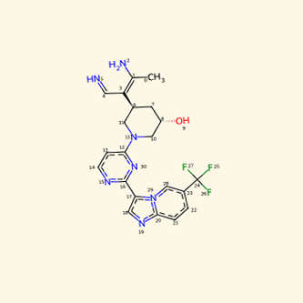 C/C(N)=C(/C=N)[C@H]1C[C@H](O)CN(c2ccnc(-c3cnc4ccc(C(F)(F)F)cn34)n2)C1